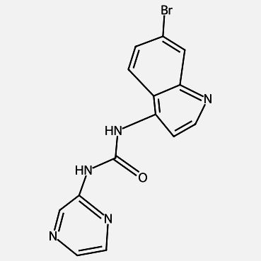 O=C(Nc1cnccn1)Nc1ccnc2cc(Br)ccc12